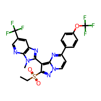 CCS(=O)(=O)c1nn2ccc(-c3ccc(OC(F)(F)F)cc3)nc2c1-c1nc2cc(C(F)(F)F)cnc2n1C